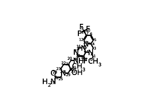 CCN(Cc1ccc(C(F)(F)F)cn1)c1ncnc(NC[C@@H]2CCN(CC(N)=O)C[C@]2(C)O)c1F